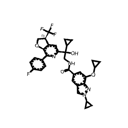 O=C(NCC(O)(c1cc2c(c(-c3ccc(F)cc3)n1)OC[C@H]2C(F)(F)F)C1CC1)c1cc(OC2CC2)c2nn(C3CC3)cc2c1